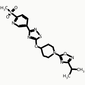 CC(C)c1noc(N2CCC(Oc3nc(-c4ccc(S(C)(=O)=O)nc4)ns3)CC2)n1